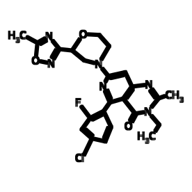 CCn1c(C)nc2cc(N3CCOC(c4noc(C)n4)C3)nc(-c3ccc(Cl)cc3F)c2c1=O